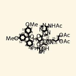 COc1ccc(C(OC[C@H]2O[C@@H](n3cnc4c(NC(C)=O)ncnc43)[C@H](OCOCCC(COC(C)=O)OC(C)=O)[C@@H]2O[PH](O)(CCC#N)N(C(C)C)C(C)C)(c2ccccc2)c2ccc(OC)cc2)cc1